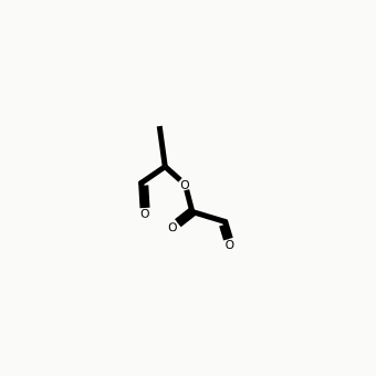 CC(C=O)OC(=O)C=O